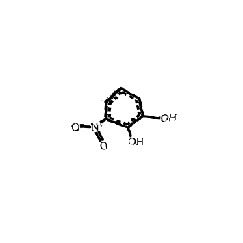 O=[N+]([O-])c1[c]ccc(O)c1O